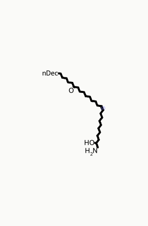 CCCCCCCCCCCCCCCC(=O)CCCCCCCC/C=C\CCCCCCCCC(O)CN